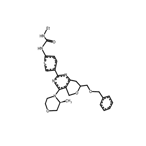 CCNC(=O)Nc1ccc(-c2nc3c(c(N4CCOC[C@@H]4C)n2)COC(COCc2ccccc2)C3)cc1